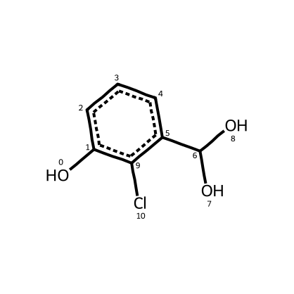 Oc1cccc(C(O)O)c1Cl